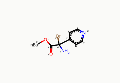 CCCCOC(=O)C(N)(Br)c1ccncc1